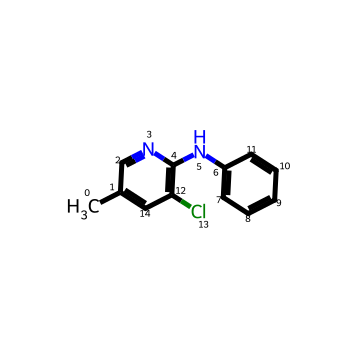 Cc1cnc(Nc2ccccc2)c(Cl)c1